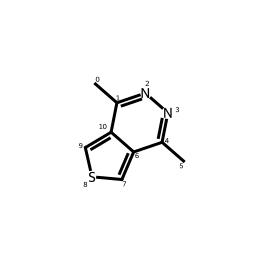 Cc1nnc(C)c2cscc12